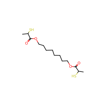 CC(S)C(=O)OCCCCCCCCOC(=O)C(C)S